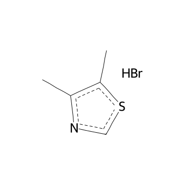 Br.Cc1ncsc1C